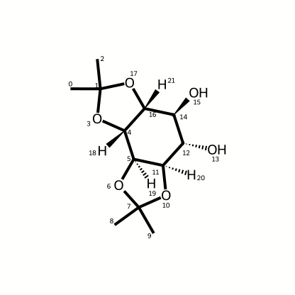 CC1(C)O[C@H]2[C@@H]3OC(C)(C)O[C@@H]3[C@@H](O)[C@H](O)[C@H]2O1